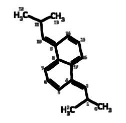 CC(C)C=c1cccc2c(=CC(C)C)cccc12